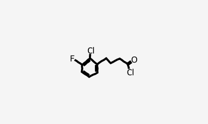 O=C(Cl)CCCc1cccc(F)c1Cl